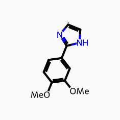 COc1ccc(-c2n[c]c[nH]2)cc1OC